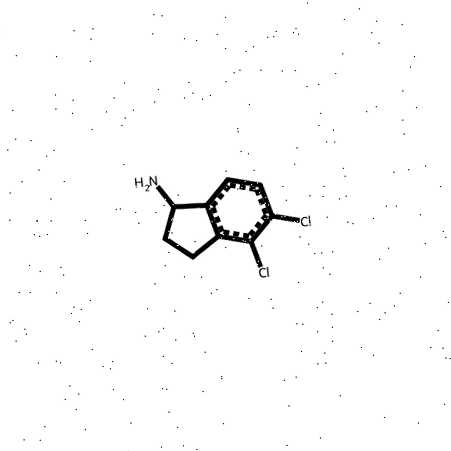 NC1CCc2c1ccc(Cl)c2Cl